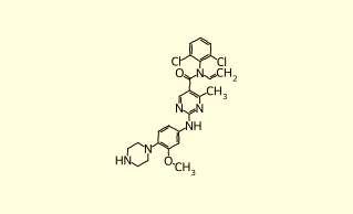 C=CN(C(=O)c1cnc(Nc2ccc(N3CCNCC3)c(OC)c2)nc1C)c1c(Cl)cccc1Cl